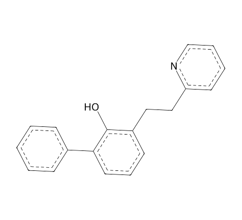 Oc1c(CCc2ccccn2)cccc1-c1ccccc1